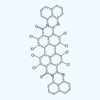 O=c1c2c(Cl)c(Cl)c3c4c(Cl)c(Cl)c5c(=O)n6c7cccc8cccc(nc6c6c(Cl)c(Cl)c(c9c(Cl)c(Cl)c(c2c39)c2nc3cccc9cccc(c93)n12)c4c56)c87